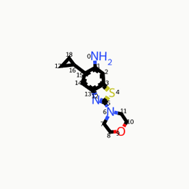 Nc1cc2sc(N3CCOCC3)nc2cc1C1CC1